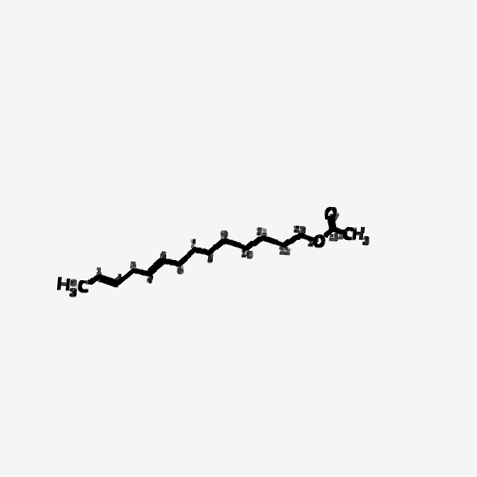 CC=CCC=CCCCCCCCCOC(C)=O